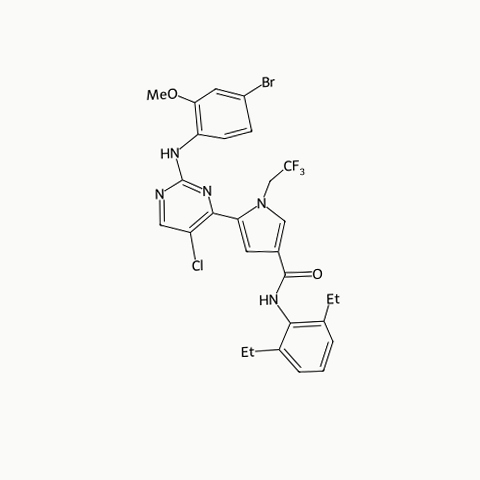 CCc1cccc(CC)c1NC(=O)c1cc(-c2nc(Nc3ccc(Br)cc3OC)ncc2Cl)n(CC(F)(F)F)c1